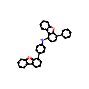 c1ccc(-c2ccc(Nc3ccc(-c4cccc5c4oc4ccccc45)cc3)c3c2oc2ccccc23)cc1